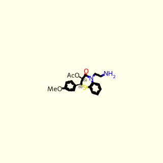 COc1ccc([C@@H]2Sc3ccccc3N(CCN)C(=O)[C@@H]2OC(C)=O)cc1